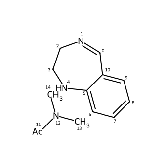 C1=NCCNc2ccccc21.CC(=O)N(C)C